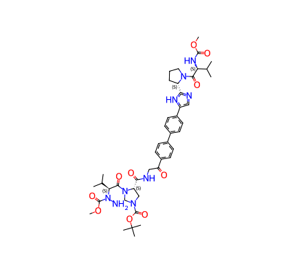 COC(=O)N[C@H](C(=O)N1CCC[C@H]1c1ncc(-c2ccc(-c3ccc(C(=O)CNC(=O)[C@@H]4CN(C(=O)OC(C)(C)C)CN4C(=O)[C@H](C(C)C)N(N)C(=O)OC)cc3)cc2)[nH]1)C(C)C